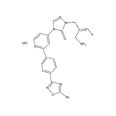 CC(C)c1nc(-c2ccc(-c3cc(-n4cnn(C/C(=C/F)CN)c4=O)ccn3)cc2)no1.Cl